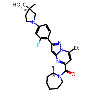 CCc1cc(C(=O)N2CCCCC[C@H]2C)nc2cc(-c3ccc(N4CC[C@@](C)(C(=O)O)C4)cc3F)nn12